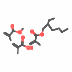 C=C(C)C(=O)O.C=C(C)C(=O)OC.C=C(C)C(=O)OCC(CC)CCCC